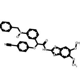 COc1cc2nc(NC(=O)C(Oc3ccc(C#N)cc3)c3cccc([S+]([O-])Cc4ccccc4)c3)sc2cc1OC